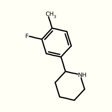 Cc1ccc(C2CCCCN2)cc1F